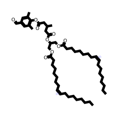 CCCCCCCC/C=C\CCCCCCCC(=O)OCC(COC(=O)CCCCCCC/C=C\CCCCCCCC)OC(=O)CC(C)CC(=O)Oc1c(C)cc(C=O)cc1C